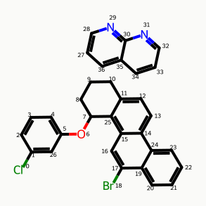 Clc1cccc(OC2CCCc3ccc4c(cc(Br)c5ccccc54)c32)c1.c1cnc2ncccc2c1